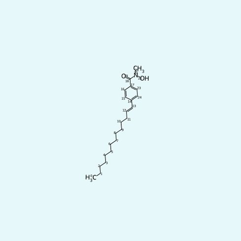 CCCCCCCCCCCC/C=C/c1ccc(C(=O)N(C)O)cc1